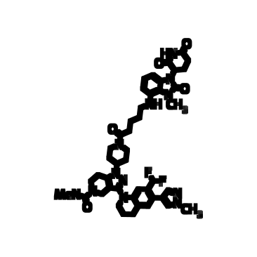 CNC(=O)N1CCc2c(c(N3CCCc4cc(-c5cnn(C)c5)c(C(F)F)cc43)nn2C2CCN(C(=O)CCCCNc3cccc4c3n(C)c(=O)n4C3CCC(=O)NC3=O)CC2)C1